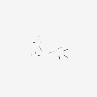 C=CC(=C)C(=C)/C=C\C=C(\Cl)Cc1ccc(C(C)(F)F)cc1CC1(C=C)CC1